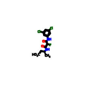 C[C@@H](CC(=O)O)NC(=O)C(F)C(=O)Nc1cc(Cl)cc(Cl)c1